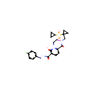 O=C(NCc1ccc(F)cc1)c1ccc2n(c1=O)CCN(CC1(S(=O)(=O)C3CC3)CC1)C2=O